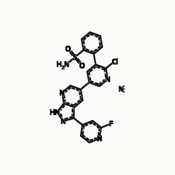 NS(=O)(=O)c1ccccc1-c1cc(-c2cnc3[nH]nc(-c4ccnc(F)c4)c3c2)cnc1Cl.[N]